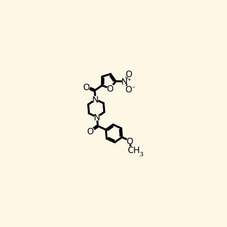 COc1ccc(C(=O)N2CCN(C(=O)c3ccc([N+](=O)[O-])o3)CC2)cc1